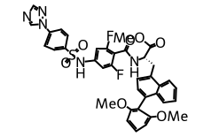 COC(=O)[C@H](Cc1ccc(-c2c(OC)cccc2OC)c2ccccc12)NC(=O)c1c(F)cc(NS(=O)(=O)c2ccc(-n3cncn3)cc2)cc1F